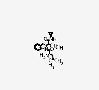 CC(C)C[C@H](N)C(=O)N[C@@H](Cc1ccccc1)C(O)C(=O)NC1CC1.Cl